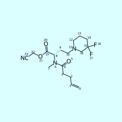 C=CCCC(=O)N(C)[C@@H](CCN1CCCC(F)(F)C1)C(=O)OCC#N